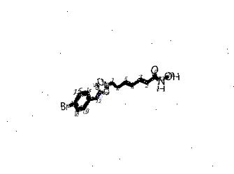 O=C(CCCCCCN1OS/C(=C\c2ccc(Br)cc2)O1)NO